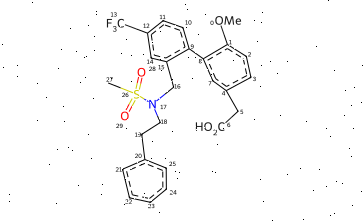 COc1ccc(CC(=O)O)cc1-c1ccc(C(F)(F)F)cc1CN(CCc1ccccc1)S(C)(=O)=O